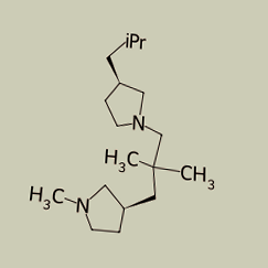 CC(C)C[C@@H]1CCN(CC(C)(C)C[C@H]2CCN(C)C2)C1